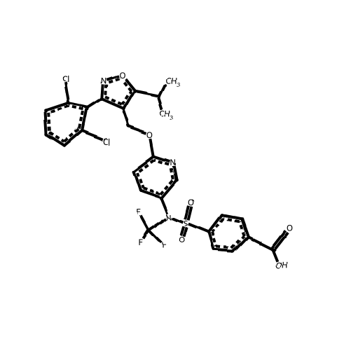 CC(C)c1onc(-c2c(Cl)cccc2Cl)c1COc1ccc(N(C(F)(F)F)S(=O)(=O)c2ccc(C(=O)O)cc2)cn1